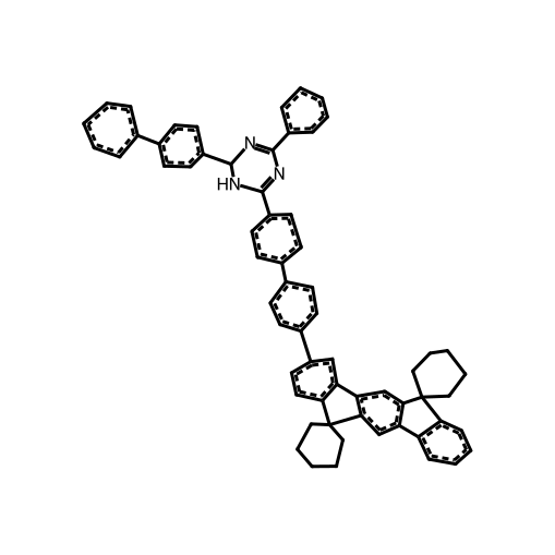 c1ccc(C2=NC(c3ccc(-c4ccccc4)cc3)NC(c3ccc(-c4ccc(-c5ccc6c(c5)-c5cc7c(cc5C65CCCCC5)-c5ccccc5C75CCCCC5)cc4)cc3)=N2)cc1